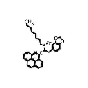 CCCCCCCC[S+]([O-])C(C)Cc1ccc2c(c1)OCO2.c1cc2ccc3cccc4ccc(c1)c2c34